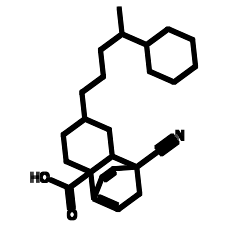 CC(CCCC1CCC2(C(=O)O)C3=CCC(C#N)(C=C3)C2C1)C1CCCCC1